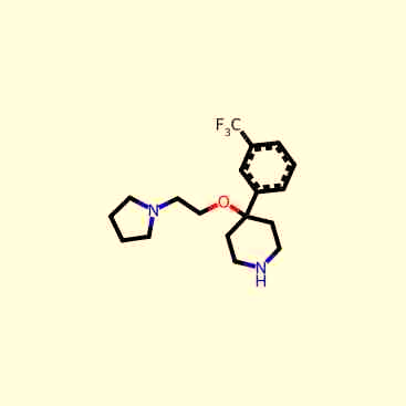 FC(F)(F)c1cccc(C2(OCCN3CCCC3)CCNCC2)c1